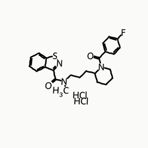 CN(CCCC1CCCCN1C(=O)c1ccc(F)cc1)C(=O)c1nsc2ccccc12.Cl.Cl